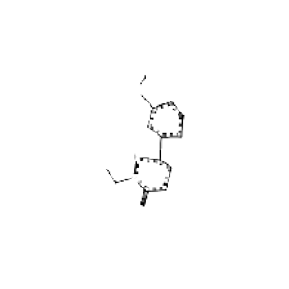 CCn1nc(-c2cccc(OC)c2)ccc1=O